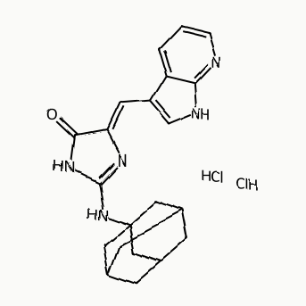 Cl.Cl.O=C1NC(NC23CC4CC(CC(C4)C2)C3)=NC1=Cc1c[nH]c2ncccc12